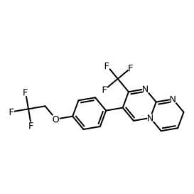 FC(F)(F)COc1ccc(C2=CN3C=CCN=C3N=C2C(F)(F)F)cc1